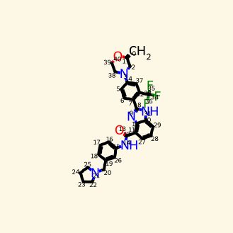 C=C1CN(c2ccc(-c3nc4c(C(=O)Nc5cccc(CN6CCCC6)c5)cccc4[nH]3)c(C(F)(F)F)c2)CCO1